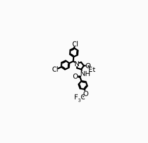 CCOC1CN(C(c2ccc(Cl)cc2)c2ccc(Cl)cc2)CC1NC(=O)c1ccc(OC(F)(F)F)cc1